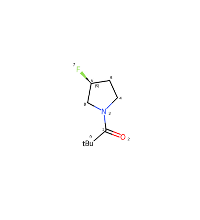 CC(C)(C)C(=O)N1CC[C@H](F)C1